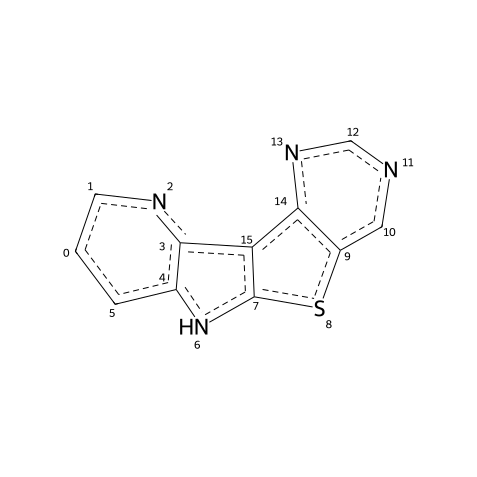 c1cnc2c(c1)[nH]c1sc3cncnc3c12